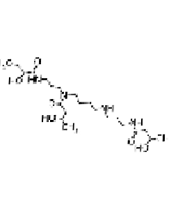 CCC(O)C(=O)NCCCN(CCCCNCCCNC(=O)C[C@@H](C)O)C(=O)C[C@@H](C)O